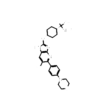 CC(=O)NC(C)(C)[C@H]1CC[C@H](Oc2nc3nc(-c4ccc(N5CCOCC5)cc4)c(Cl)cc3[nH]2)CC1